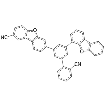 N#Cc1ccc2oc3cc(-c4cc(-c5ccccc5C#N)cc(-c5cccc6c5oc5ccccc56)c4)ccc3c2c1